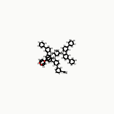 N#Cc1cccc(-c2ccc3c(c2)c2cc(-c4ccccc4)ccc2n3-c2cc(-n3c4ccc(-c5ccccc5)cc4c4cc(-c5ccccc5)ccc43)cnc2-n2c3ccc(-c4ccccc4)cc3c3cc(-c4ccccc4)ccc32)c1